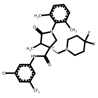 Cc1cccc(C)c1N1C[C@@](CN2CCC(F)(F)CC2)(C(=O)Nc2cc(Cl)cc(C(F)(F)F)c2)C(C)C1=O